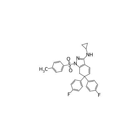 Cc1ccc(S(=O)(=O)n2nc(NC3CC3)c3c2CC(c2ccc(F)cc2)(c2ccc(F)cc2)C=C3)cc1